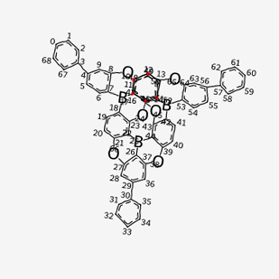 c1ccc(-c2ccc3c(c2)Oc2cccc4c2B3c2ccc3c(c2O4)B2c4c(cc(-c5ccccc5)cc4Oc4ccc5c(c42)Oc2cccc4c2B5c2ccc(-c5ccccc5)cc2O4)O3)cc1